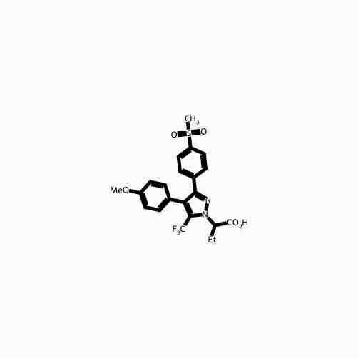 CCC(C(=O)O)n1nc(-c2ccc(S(C)(=O)=O)cc2)c(-c2ccc(OC)cc2)c1C(F)(F)F